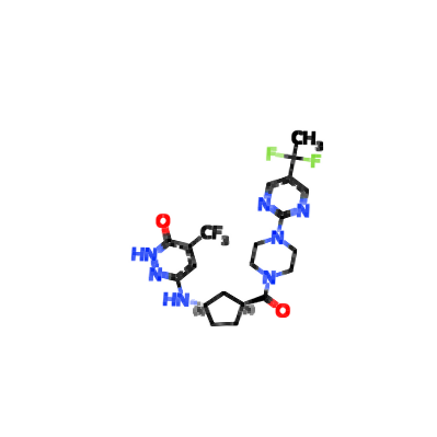 CC(F)(F)c1cnc(N2CCN(C(=O)[C@H]3CC[C@H](Nc4cc(C(F)(F)F)c(=O)[nH]n4)C3)CC2)nc1